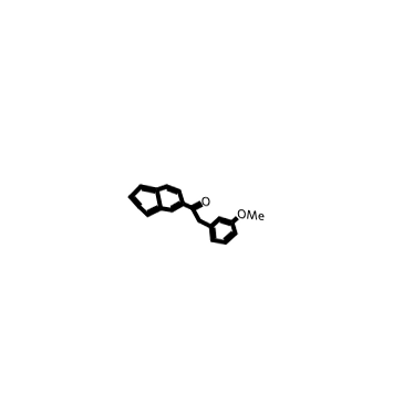 COc1cccc(CC(=O)c2ccc3ccccc3c2)c1